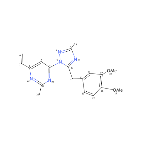 C=Cc1cc(-n2nc(C)nc2Cc2ccc(OC)c(OC)c2)nc(C)n1